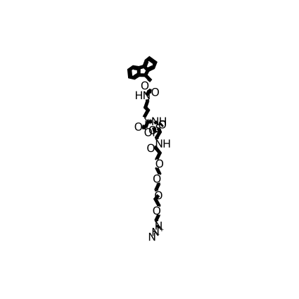 [N-]=[N+]=NCCOCCOCCOCCOCCC(=O)NCCS(=O)(=O)N[C@@H](CCCCNC(=O)OCC1c2ccccc2-c2ccccc21)C(=O)O